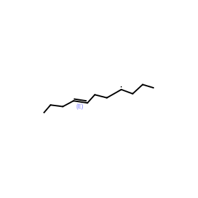 CCC[CH]CC/C=C/CCC